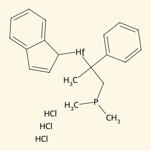 CP(C)C[C](C)([Hf][CH]1C=Cc2ccccc21)c1ccccc1.Cl.Cl.Cl